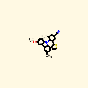 COc1ccc2c(c1)c1cc(C)ccc1n2-c1c(C)cc(C#N)cc1-c1cccs1